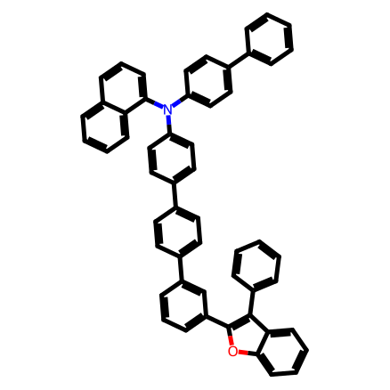 c1ccc(-c2ccc(N(c3ccc(-c4ccc(-c5cccc(-c6oc7ccccc7c6-c6ccccc6)c5)cc4)cc3)c3cccc4ccccc34)cc2)cc1